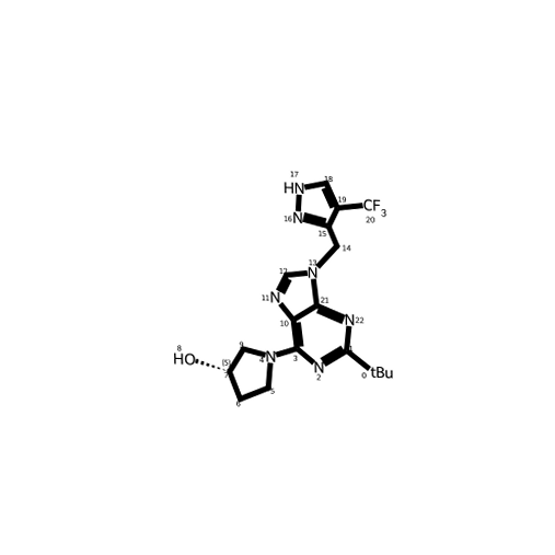 CC(C)(C)c1nc(N2CC[C@H](O)C2)c2ncn(Cc3n[nH]cc3C(F)(F)F)c2n1